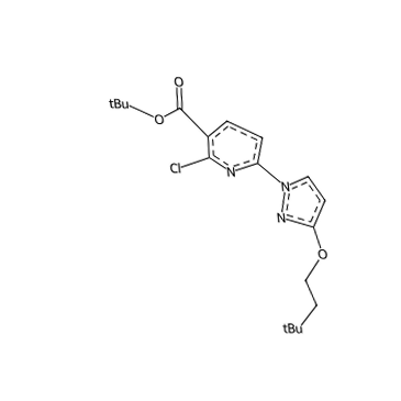 CC(C)(C)CCOc1ccn(-c2ccc(C(=O)OC(C)(C)C)c(Cl)n2)n1